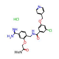 CNC(=O)COc1cc(C(=N)N)ccc1CNC(=O)c1cc(Cl)cc(OCc2ccncc2)c1.Cl